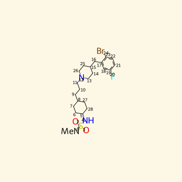 CNS(=O)(=O)NC1CCC(CCCN2CCC(Cc3cc(F)ccc3Br)CC2)CC1